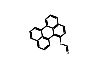 O=COc1ccc2cccc3c4cccc5cccc(c1c23)c54